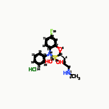 CNCCC[C@H]1Oc2cc(F)ccc2N(c2ccccc2)S1(O)O.Cl